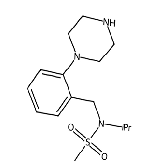 CC(C)N(Cc1ccccc1N1CCNCC1)S(C)(=O)=O